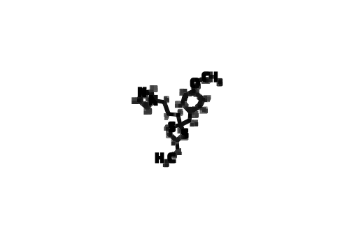 CCC1CSC(CCCn2ccnc2)(Cc2ccc(OC)cc2)S1